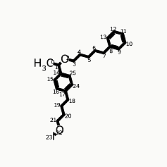 CC(OCCCCCc1ccccc1)c1ccc(CCCCOI)cc1